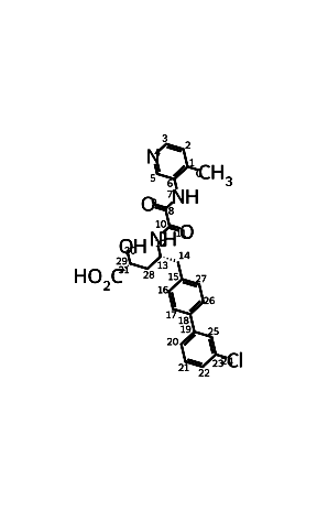 Cc1ccncc1NC(=O)C(=O)N[C@H](Cc1ccc(-c2cccc(Cl)c2)cc1)C[C@@H](O)C(=O)O